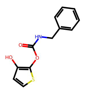 O=C(NCc1ccccc1)Oc1sccc1O